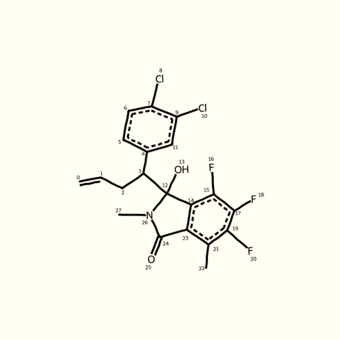 C=CCC(c1ccc(Cl)c(Cl)c1)C1(O)c2c(F)c(F)c(F)c(C)c2C(=O)N1C